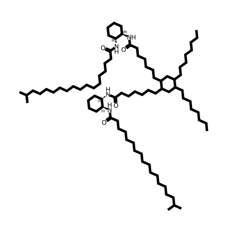 CCCCCCCCC1CC(CCCCCCC(=O)N[C@H]2CCCC[C@@H]2NC(=O)CCCCCCCCCCCCCCCC(C)C)C(CCCCCCC(=O)N[C@@H]2CCCC[C@H]2NC(=O)CCCCCCCCCCCCCCCC(C)C)CC1CCCCCCCC